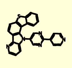 c1ccc2c(c1)sc1ccc3c4ncccc4n(-c4cnc(-c5ccncc5)nc4)c3c12